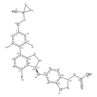 Cc1cc(OCC2(O)CC2)cc(C)c1-c1ccc(F)c2c1CC[C@H]2Oc1ccc2c(c1)OCC2CC(=O)O